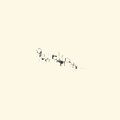 COc1ccc([C@@H](C)NC(=O)c2cc(N3CCN(C)CC3)ccc2C)cc1-c1csc(C(=O)OCc2ccccc2)c1